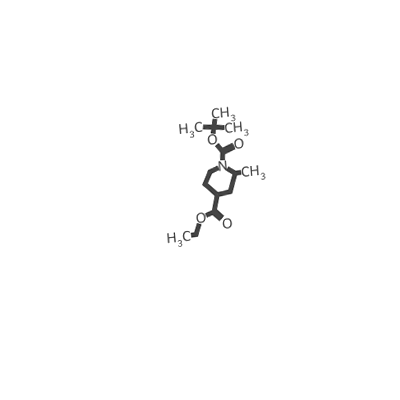 CCOC(=O)C1CCN(C(=O)OC(C)(C)C)C(C)C1